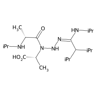 CC(C)N/C(=N/NN(C(=O)[C@@H](C)NC(C)C)[C@H](C)C(=O)O)C(C(C)C)C(C)C